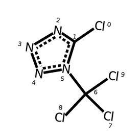 Clc1nnnn1C(Cl)(Cl)Cl